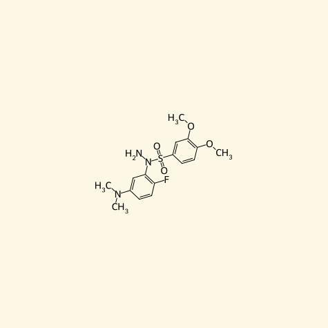 COc1ccc(S(=O)(=O)N(N)c2cc(N(C)C)ccc2F)cc1OC